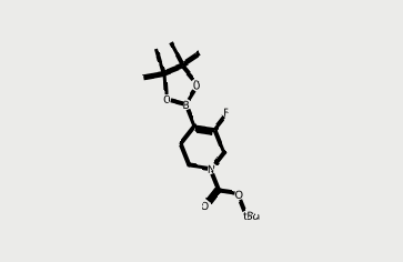 CC(C)(C)OC(=O)N1CCC(B2OC(C)(C)C(C)(C)O2)=C(F)C1